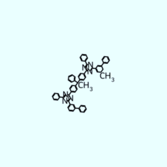 CC1C=C(c2nc(-c3ccccc3)nc(-c3ccc(C(C)(c4ccccc4)c4ccc(-c5nc(-c6ccccc6)nc(-c6cccc(-c7ccccc7)c6)n5)cc4)cc3)n2)C=C(c2ccccc2)C1